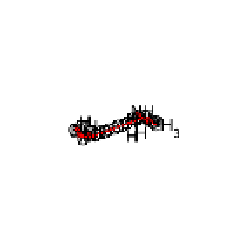 CC(=O)OCc1ccc(NC(=O)[C@H](CCCCN)NC(=O)COCC(=O)NCCOCCOCCOCCOCCOCCOCCOCCOCCn2cc(CNC(=O)C3CCC(CN4C(=O)CC(C)C4=O)CC3)nn2)cc1